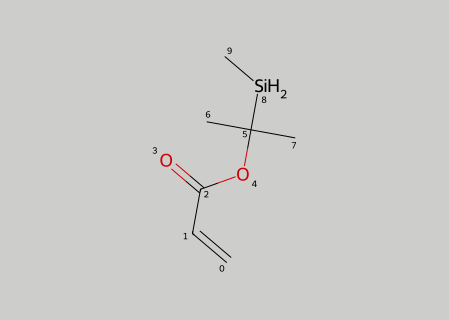 C=CC(=O)OC(C)(C)[SiH2]C